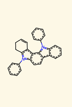 C1=Cc2c(n(-c3ccccc3)c3ccc4c5ccccc5n(-c5ccccc5)c4c23)CC1